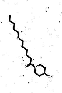 CCCCCCCCCCCC(=O)N1CCC(O)CC1